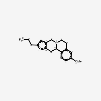 COc1ccc2c(c1)CCN1Cc3cc(CCC(F)(F)F)sc3CC21